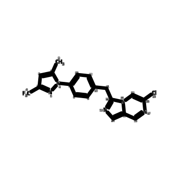 Cc1cc(C(F)(F)F)nn1-c1ccc(Cc2ncc3cnc(Cl)cn23)cc1